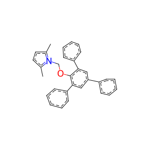 Cc1ccc(C)n1COc1c(-c2ccccc2)cc(-c2ccccc2)cc1-c1ccccc1